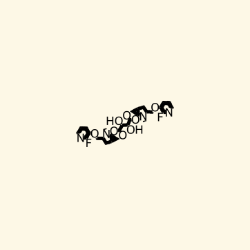 CN1C(COc2cccnc2F)CC2CC21OC(=O)C(O)C(O)C(=O)OC12CC1CC(COc1cccnc1F)N2C